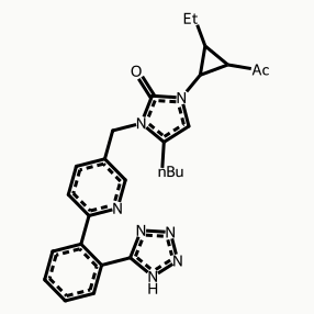 CCCCc1cn(C2C(CC)C2C(C)=O)c(=O)n1Cc1ccc(-c2ccccc2-c2nnn[nH]2)nc1